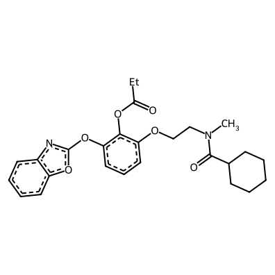 CCC(=O)Oc1c(OCCN(C)C(=O)C2CCCCC2)cccc1Oc1nc2ccccc2o1